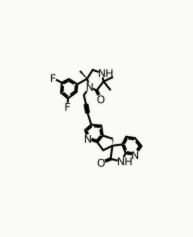 CC1(C)NC[C@@](C)(c2cc(F)cc(F)c2)N(CC#Cc2cnc3c(c2)C[C@@]2(C3)C(=O)Nc3ncccc32)C1=O